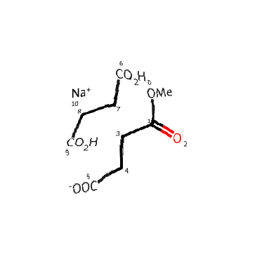 COC(=O)CCC(=O)[O-].O=C(O)CCC(=O)O.[Na+]